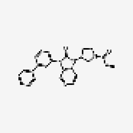 C=CC(=O)N1CCC(n2c(=O)n(-c3cccc(-c4ccccc4)c3)c3cnccc32)C1